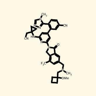 COC1(CN(C)Cc2cc3c(c(C(F)(F)F)c2)CN(c2cc(-c4cc(C#N)ccc4-c4nncn4C)cc(NC4(CC#N)CC4)n2)C3=O)CCC1